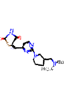 CC(C)(C)N(CC1CCCN(c2nccc(/C=C3/SC(=O)NC3=O)n2)C1)C(=O)O